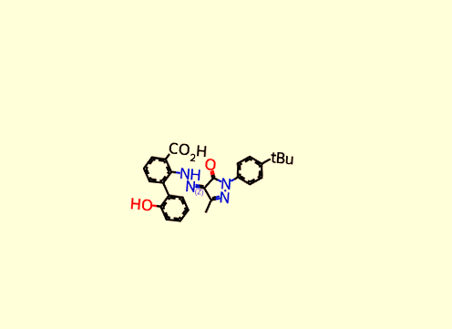 CC1=NN(c2ccc(C(C)(C)C)cc2)C(=O)/C1=N\Nc1c(C(=O)O)cccc1-c1ccccc1O